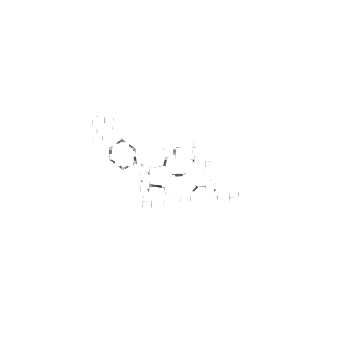 COC(=O)/C(=C1/C(=O)N(c2ccc(OC)cc2)N=C1C)C(F)(F)F